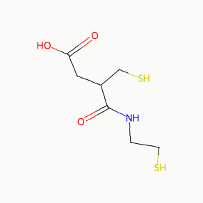 O=C(O)CC(CS)C(=O)NCCS